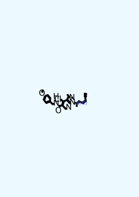 C#C/C=C\C=C(/C)n1nc(C)c2c(Cl)c(C(=O)NCc3ccc(OC)cc3)cnc21